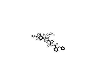 CC(C)C[C@H](NC(=O)c1ccc(C(C)(C)C)cc1)C(=O)N1CCC2[C@H]1C(=O)CN2C(=O)c1ccccc1Cc1ccccc1